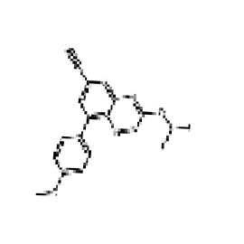 C#Cc1cc(-c2ccc(OC)cc2)c2ncc(OC(F)F)nc2c1